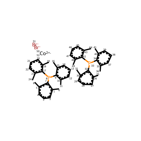 Cc1cccc(C)c1P(c1c(C)cccc1C)c1c(C)cccc1C.Cc1cccc(C)c1P(c1c(C)cccc1C)c1c(C)cccc1C.[Br-].[Br-].[Co+2]